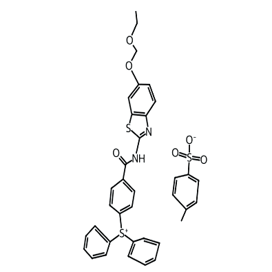 CCOCOc1ccc2nc(NC(=O)c3ccc([S+](c4ccccc4)c4ccccc4)cc3)sc2c1.Cc1ccc(S(=O)(=O)[O-])cc1